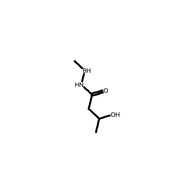 CBNC(=O)CC(C)O